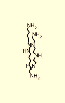 NCCCCCCNCCCCCCN.NCCNCCNCCN